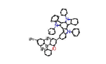 CC(C)c1cc(C(C)C)c(B2c3ccccc3Oc3cc(-c4ccc5c(c4)c4c6c(c7ccccc7n6-c6ccccc6)c6c(c7ccccc7n6-c6ccccc6)c4n5-c4ccccc4)ccc32)c(C(C)C)c1